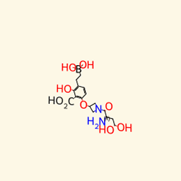 N[C@H](CC(O)O)C(=O)N1CC(Oc2ccc(CCB(O)O)c(O)c2C(=O)O)C1